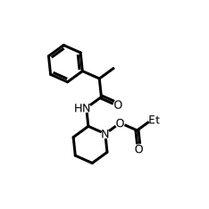 CCC(=O)ON1CCCCC1NC(=O)C(C)c1ccccc1